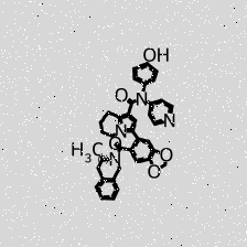 C[C@@H]1Cc2ccccc2CN1C(=O)c1cc2c(cc1-c1cc(C(=O)N(c3ccncc3)c3ccc(O)cc3)c3n1CCCC3)OCO2